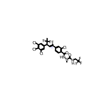 CN(NC(=O)c1ccc(/C(F)=C/C(c2cc(Cl)c(Cl)c(Cl)c2)C(C)(F)F)cc1Cl)C(=O)NCC(F)(F)F